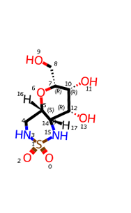 O=S1(=O)NC[C@@H]2O[C@H](CO)[C@H](O)[C@H](O)[C@@H]2N1